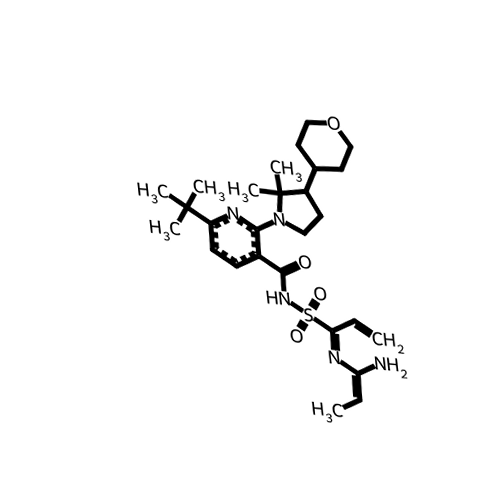 C=C/C(=N\C(N)=C/C)S(=O)(=O)NC(=O)c1ccc(C(C)(C)C)nc1N1CCC(C2CCOCC2)C1(C)C